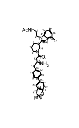 CC(=O)NCCn1c(C2CCCN(C(=O)CC(N)Cc3ccc(-c4ccc5c(c4)OC(F)(F)O5)cc3)C2)nc2c(C)cccc21